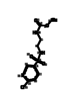 CC(C)(C)OC(=O)NCCNS(=O)(=O)c1ccc(Cl)nc1